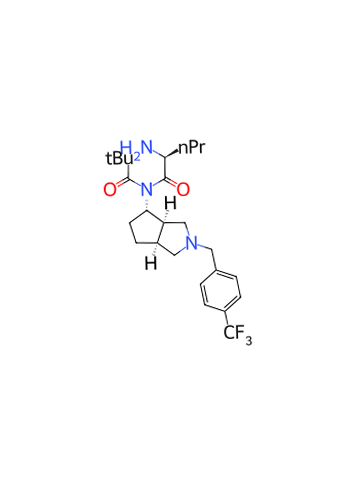 CCC[C@H](N)C(=O)N(C(=O)C(C)(C)C)[C@H]1CC[C@@H]2CN(Cc3ccc(C(F)(F)F)cc3)C[C@@H]21